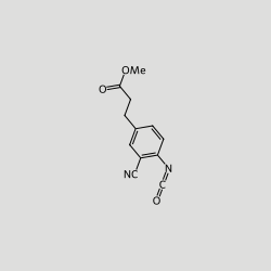 COC(=O)CCc1ccc(N=C=O)c(C#N)c1